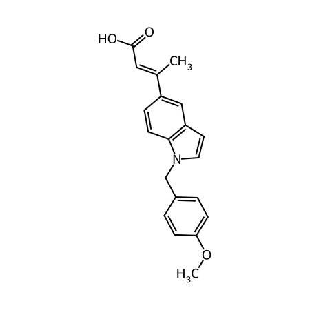 COc1ccc(Cn2ccc3cc(C(C)=CC(=O)O)ccc32)cc1